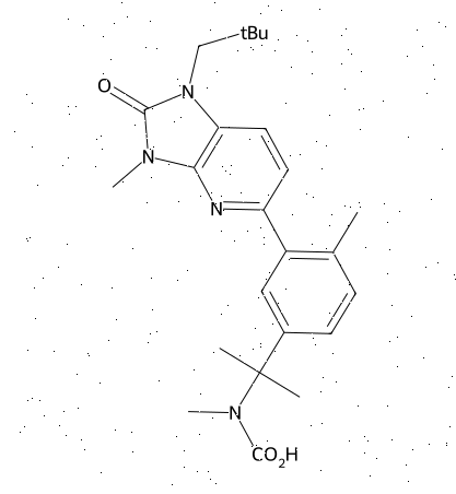 Cc1ccc(C(C)(C)N(C)C(=O)O)cc1-c1ccc2c(n1)n(C)c(=O)n2CC(C)(C)C